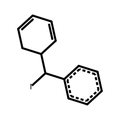 IC(c1ccccc1)C1C=CC=CC1